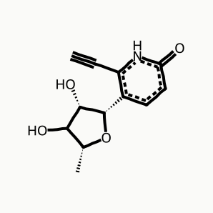 C#Cc1[nH]c(=O)ccc1[C@@H]1O[C@H](C)C(O)[C@@H]1O